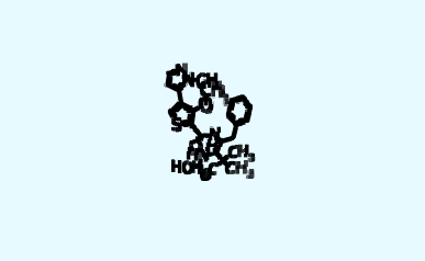 COc1c(-c2ccnn2C)csc1C(=O)NC(Cc1ccccc1)C(NC(=O)O)C(C)(C)C